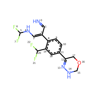 N=C/C(=C\NC(F)F)c1ccc(C2=NNCOC2)cc1C(F)F